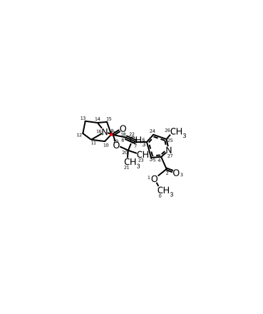 COC(=O)c1cc(C#CC2CC3CCC(C2)N3C(=O)OC(C)(C)C)cc(C)n1